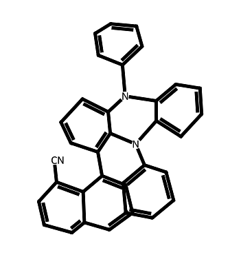 N#Cc1cccc2cccc(-c3cccc4c3N(c3ccccc3)c3ccccc3N4c3ccccc3)c12